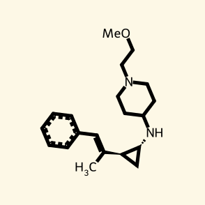 COCCN1CCC(N[C@@H]2C[C@H]2C(C)=Cc2ccccc2)CC1